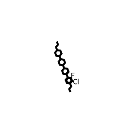 CCCc1ccc(C2=CCC(C3CCC(C4CCC(CCC)CC4)CC3)CC2)c(F)c1Cl